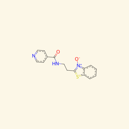 O=C(NCCc1sc2ccccc2[n+]1[O-])c1ccncc1